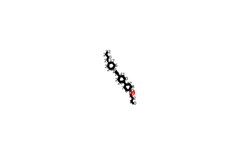 CCCCOc1ccc(-c2ccc(C#C[C@H]3CC[C@H](CCCC)CC3)cc2)cc1